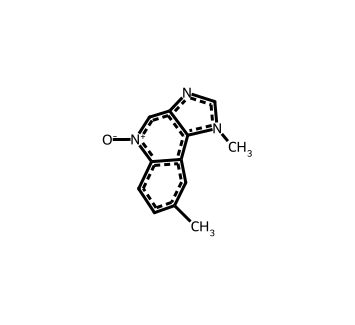 Cc1ccc2c(c1)c1c(c[n+]2[O-])ncn1C